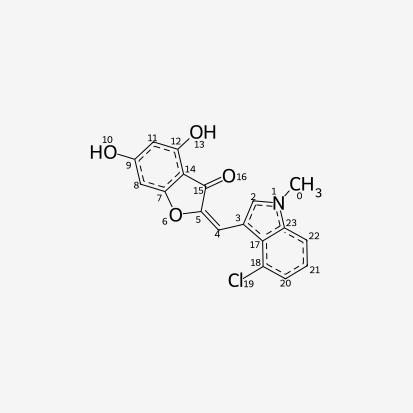 Cn1cc(/C=C2/Oc3cc(O)cc(O)c3C2=O)c2c(Cl)cccc21